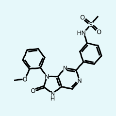 COc1ccccc1-n1c(=O)[nH]c2cnc(-c3cccc(NS(C)(=O)=O)c3)nc21